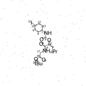 CC(C)C[C@H](OC(=O)Nc1ccc(I)cc1)C(=O)NCC(=O)OC(C)(C)C